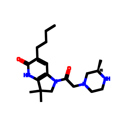 CCCCc1cc2c([nH]c1=O)C(C)(C)CN2C(=O)CN1CCN[C@H](C)C1